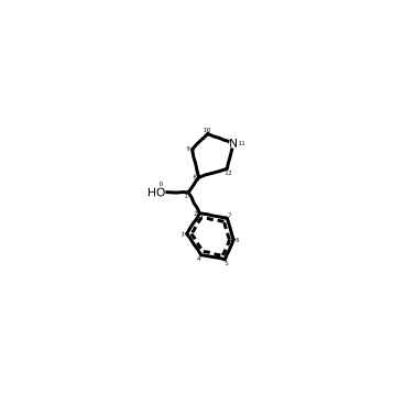 OC(c1ccccc1)C1CC[N]C1